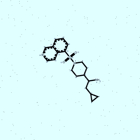 NC(CC1CC1)C1CCN(S(=O)(=O)c2cccc3cnccc23)CC1